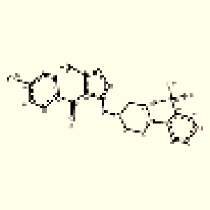 Nc1scc(CN2CCN(c3ccccc3C(F)(F)F)CC2)c1C(=O)c1ccc(Cl)cc1